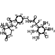 Bc1c(B)c(C(F)(F)C(=O)NCc2ccc3c(c2)CN(C2(B)CCC(=O)NC2=O)C3=O)c(B)c(B)c1Cl